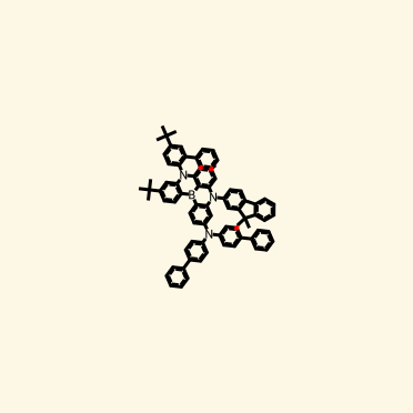 Cc1cc2c3c(c1)N(c1ccc(C(C)(C)C)cc1-c1ccccc1)c1cc(C(C)(C)C)ccc1B3c1ccc(N(c3ccc(-c4ccccc4)cc3)c3ccc(-c4ccccc4)cc3)cc1N2c1ccc2c(c1)C(C)(C)c1ccccc1-2